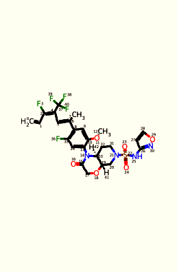 C=C/C(F)=C(\C=C(/C)c1cc(OC)c(N2C(=O)CO[C@H]3CN(S(=O)(=O)Nc4ccon4)CC[C@@H]32)cc1F)C(F)(F)F